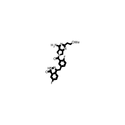 COCCc1nc(N)c2c(n1)CN(C(=O)c1cc(Cc3n[nH]c(=O)c4cc(F)ccc34)ccc1F)C2